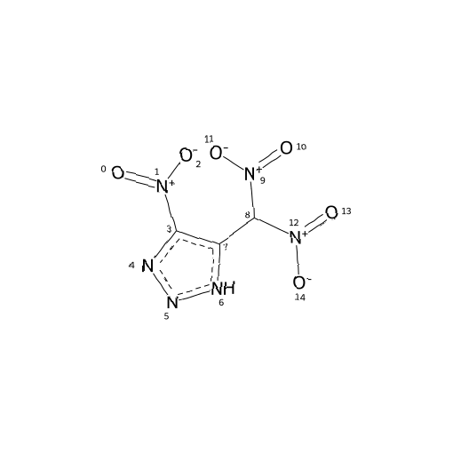 O=[N+]([O-])c1nn[nH]c1C([N+](=O)[O-])[N+](=O)[O-]